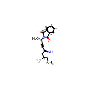 CCC(C)CC(=N)C#C[C@@H](C)N1C(=O)c2ccccc2C1=O